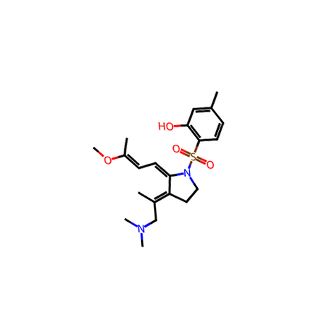 CO/C(C)=C/C=C1\C(=C(/C)CN(C)C)CCN1S(=O)(=O)c1ccc(C)cc1O